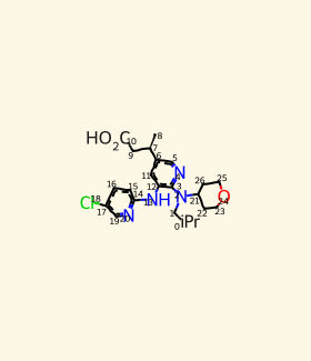 CC(C)CN(c1ncc([C@H](C)CC(=O)O)cc1Nc1ccc(Cl)cn1)C1CCOCC1